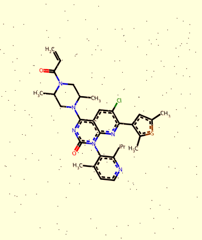 C=CC(=O)N1CC(C)N(c2nc(=O)n(-c3c(C)ccnc3C(C)C)c3nc(-c4cc(C)sc4C)c(Cl)cc23)CC1C